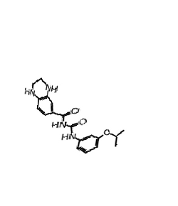 CC(C)Oc1cccc(NC(=O)NC(=O)c2ccc3c(c2)NCCN3)c1